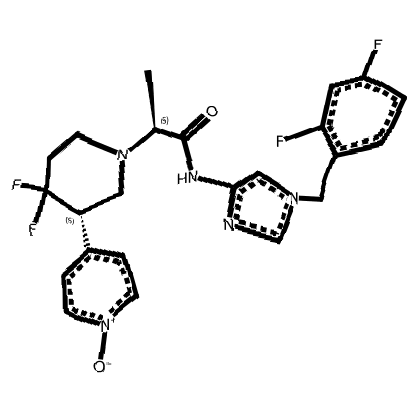 C[C@@H](C(=O)Nc1cn(Cc2ccc(F)cc2F)cn1)N1CCC(F)(F)[C@@H](c2cc[n+]([O-])cc2)C1